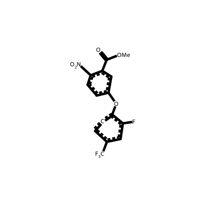 COC(=O)c1cc(Oc2ccc(C(F)(F)F)cc2F)ccc1[N+](=O)[O-]